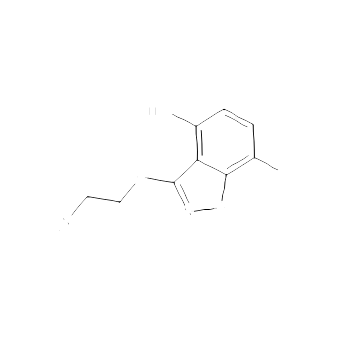 Cc1ccc(Cl)c2onc(OCCN)c12